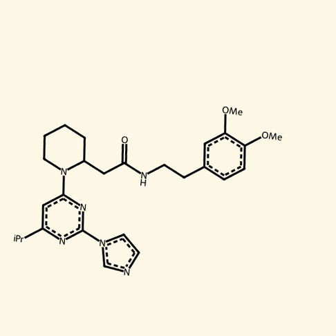 COc1ccc(CCNC(=O)CC2CCCCN2c2cc(C(C)C)nc(-n3ccnc3)n2)cc1OC